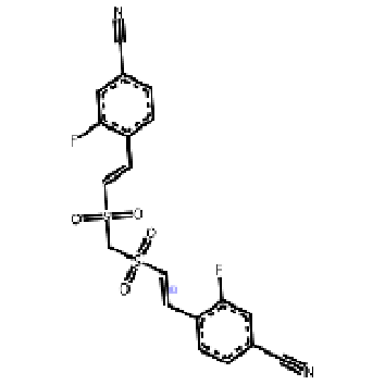 N#Cc1ccc(C=CS(=O)(=O)CS(=O)(=O)/C=C/c2ccc(C#N)cc2F)c(F)c1